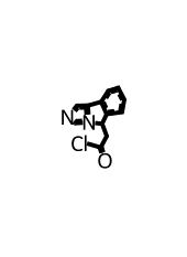 O=C(Cl)CC1c2ccccc2-c2cncn21